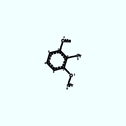 CCCOc1cccc(OC)c1C(C)C